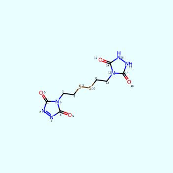 O=C1N=NC(=O)N1CCSSCCn1c(=O)[nH][nH]c1=O